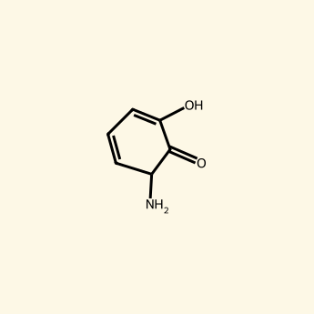 NC1C=CC=C(O)C1=O